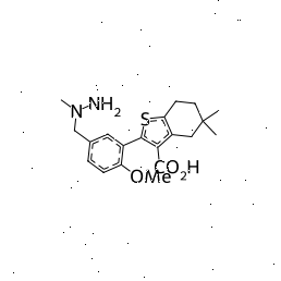 COc1ccc(CN(C)N)cc1-c1sc2c(c1C(=O)O)CC(C)(C)CC2